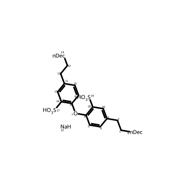 CCCCCCCCCCCCc1ccc(Oc2ccc(CCCCCCCCCCCC)cc2S(=O)(=O)O)c(S(=O)(=O)O)c1.[NaH]